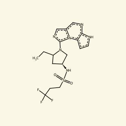 CCC1C[C@H](NS(=O)(=O)CCC(F)(F)F)CN1c1ncc2cnc3[nH]ccc3n12